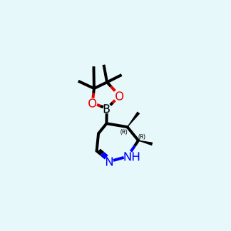 C[C@@H]1C(B2OC(C)(C)C(C)(C)O2)CC=NN[C@@H]1C